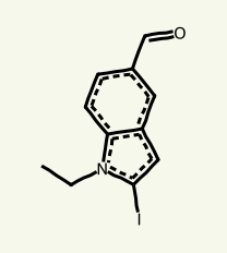 CCn1c(I)cc2cc(C=O)ccc21